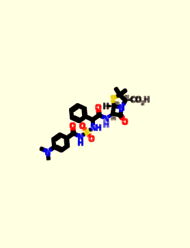 CN(C)c1ccc(C(=O)NS(=O)(=O)NC(C(=O)N[C@@H]2C(=O)N3[C@@H]2SC(C)(C)[C@@H]3C(=O)O)c2ccccc2)cc1